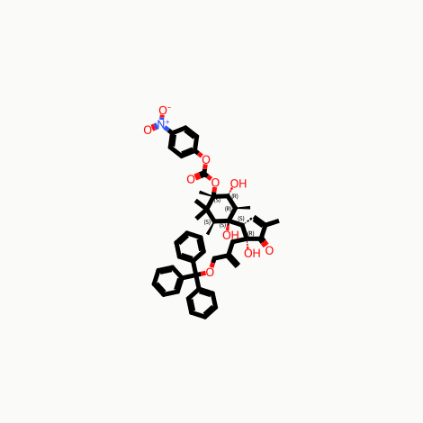 C=C(COC(c1ccccc1)(c1ccccc1)c1ccccc1)C[C@]1(O)C(=O)C(C)=C[C@H]1[C@@]1(O)[C@H](C)[C@@H](O)[C@@](C)(OC(=O)Oc2ccc([N+](=O)[O-])cc2)C(C)(C)[C@@H]1C